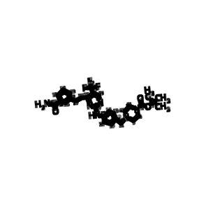 CC(C)(C)OC(=O)N1CCN(Cc2ccc(Nc3ncc(C(F)(F)F)c(CCc4cccc(C(N)=O)c4)n3)cc2)CC1